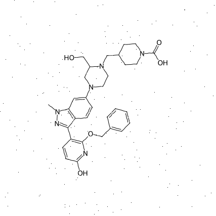 Cn1nc(-c2ccc(O)nc2OCc2ccccc2)c2ccc(N3CCN(CC4CCN(C(=O)O)CC4)C(CO)C3)cc21